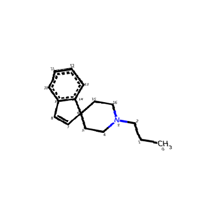 CCCN1CCC2(C=Cc3ccccc32)CC1